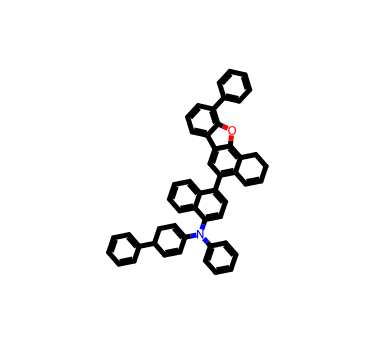 C1=Cc2c(-c3ccc(N(C4=CCC(c5ccccc5)C=C4)c4ccccc4)c4ccccc34)cc3c(oc4c(-c5ccccc5)cccc43)c2CC1